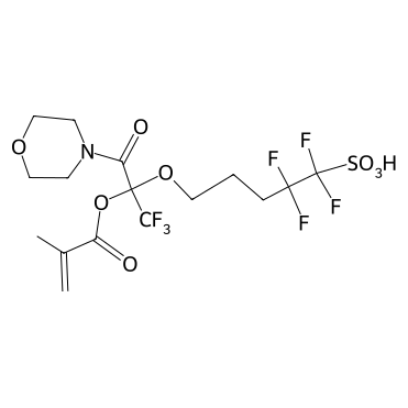 C=C(C)C(=O)OC(OCCCC(F)(F)C(F)(F)S(=O)(=O)O)(C(=O)N1CCOCC1)C(F)(F)F